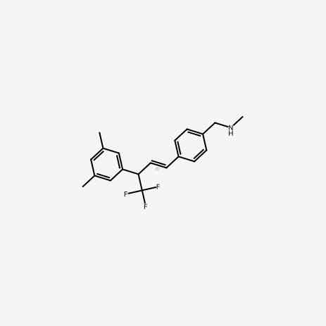 CNCc1ccc(/C=C/C(c2cc(C)cc(C)c2)C(F)(F)F)cc1